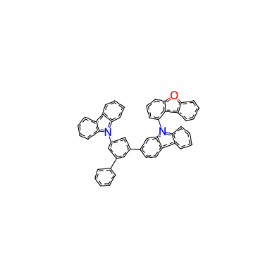 c1ccc(-c2cc(-c3ccc4c5ccccc5n(-c5cccc6oc7ccccc7c56)c4c3)cc(-n3c4ccccc4c4ccccc43)c2)cc1